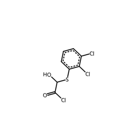 O=C(Cl)C(O)Sc1cccc(Cl)c1Cl